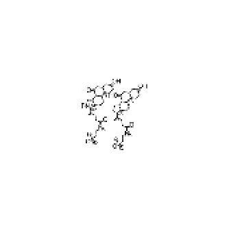 C[C@H](CCC(=O)N(C)CCS(=O)(=O)[O-])[C@H]1CCC2C3C(CC[C@@]21C)[C@@]1(C)CC[C@@H](O)CC1C[C@@H]3O.C[C@H](CCC(=O)N(C)CCS(=O)(=O)[O-])[C@H]1CCC2C3C(CC[C@@]21C)[C@@]1(C)CC[C@@H](O)CC1C[C@@H]3O.[Fe+2]